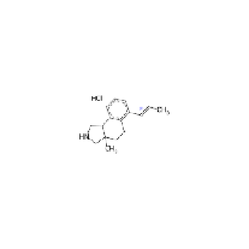 C/C=C/c1cccc2c1CCC1(C)CNCC21.Cl